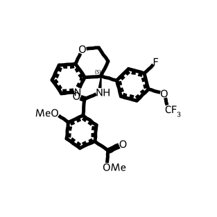 COC(=O)c1ccc(OC)c(C(=O)N[C@]2(c3ccc(OC(F)(F)F)c(F)c3)CCOc3cccnc32)c1